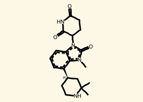 Cn1c(=O)n(C2CCC(=O)NC2=O)c2cccc([C@@H]3CCNC(C)(C)C3)c21